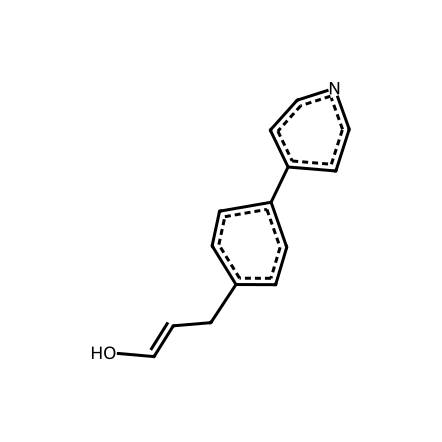 O/C=C/Cc1ccc(-c2ccncc2)cc1